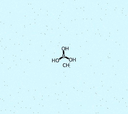 OB(O)O.[CH]